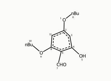 CCCCOc1cc(O)c(C=O)c(OCCCC)c1